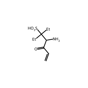 C=CC(=O)C(N)C(CC)(CC)S(=O)(=O)O